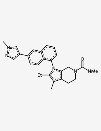 CCc1c(C)c2c(n1-c1cccc3cc(-c4cnn(C)c4)ncc13)CN(C(=O)NC)CC2